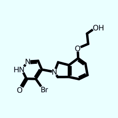 O=c1[nH]ncc(N2Cc3cccc(OCCO)c3C2)c1Br